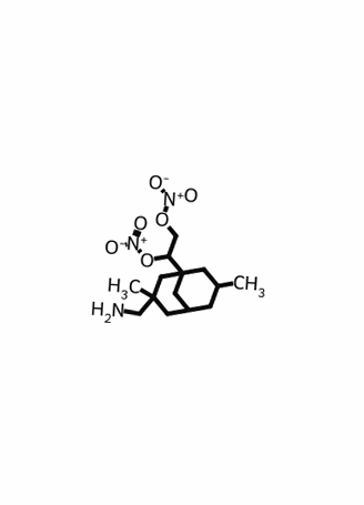 CC1CC2CC(C)(CN)CC(C(CO[N+](=O)[O-])O[N+](=O)[O-])(C1)C2